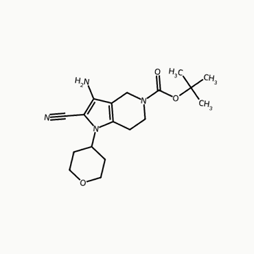 CC(C)(C)OC(=O)N1CCc2c(c(N)c(C#N)n2C2CCOCC2)C1